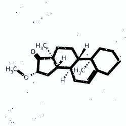 CO[C@H]1C[C@H]2[C@@H]3CC=C4CCCC[C@]4(C)[C@H]3CC[C@]2(C)C1=O